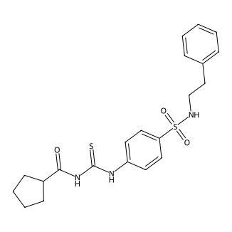 O=C(NC(=S)Nc1ccc(S(=O)(=O)NCCc2ccccc2)cc1)C1CCCC1